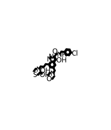 O=C(NCc1ccc(Cl)cc1)c1nnc2c(CCCN3CCSCC3(O)O)cc(CN3CCOCC3)cc2c1O